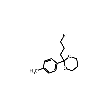 Cc1ccc(C2(CCCBr)OCCCO2)cc1